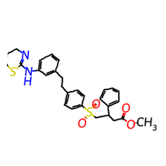 COC(=O)CC(CS(=O)(=O)c1ccc(CCc2cccc(NC3=NCCCS3)c2)cc1)c1ccccc1